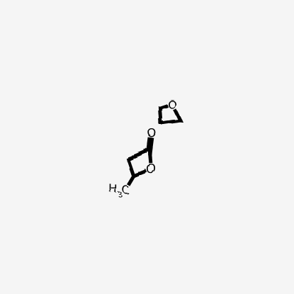 C1COC1.CC1CC(=O)O1